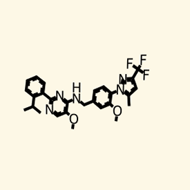 COc1cc(CNc2nc(-c3ccccc3C(C)C)ncc2OC)ccc1-n1nc(C(F)(F)F)cc1C